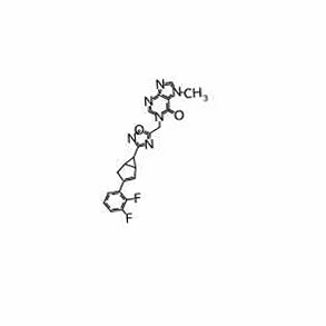 Cn1cnc2ncn(Cc3nc(C4C5C=C(c6cccc(F)c6F)CC54)no3)c(=O)c21